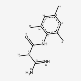 Cc1cc(C)c(NC(=O)N(C)C(=N)N)c(C)c1